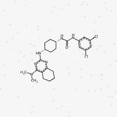 CN(C)c1nc(N[C@H]2CC[C@@H](NC(=O)Nc3cc(Cl)cc(Cl)c3)CC2)nc2c1CCCC2